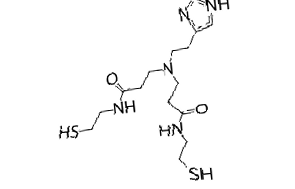 O=C(CCN(CCC(=O)NCCS)CCc1c[nH]cn1)NCCS